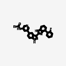 CCC(=O)Nc1cncc(-c2ccc3[nH]nc(-c4nc5c(-c6ccccc6F)cccc5[nH]4)c3c2)c1